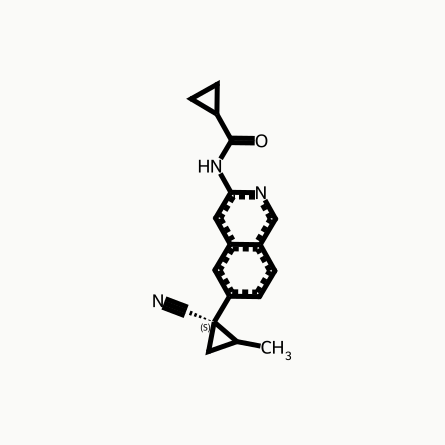 CC1C[C@@]1(C#N)c1ccc2cnc(NC(=O)C3CC3)cc2c1